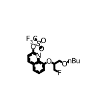 CCCCOCC(CF)Oc1cccc2ccc(OS(=O)(=O)C(F)(F)F)nc12